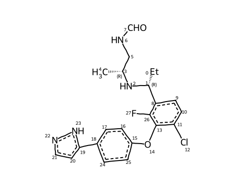 CC[C@@H](N[C@H](C)CNC=O)c1ccc(Cl)c(Oc2ccc(-c3ccn[nH]3)cc2)c1F